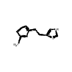 Nc1cccc(CCc2c[nH]cn2)c1